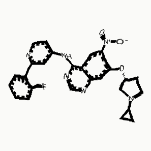 O=[N+]([O-])c1cc2c(Nc3ccnc(-c4ccccc4F)c3)ncnc2cc1O[C@@H]1CCN(C2CC2)C1